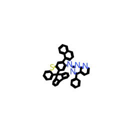 c1ccc(-c2nc(-n3c4cc5c(cc4c4c6ccccc6ccc43)Sc3ccccc3C53c4ccccc4-c4ccccc43)nc3ncccc23)cc1